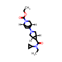 CCOC(=O)N1C[C@@H]2CC[C@H]1CC2N1C[C@@H]2C(C(=O)N(CC)C3CC3)[C@@H]2C1